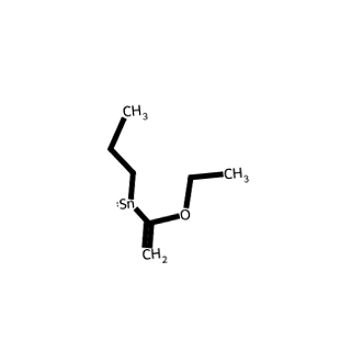 C=[C](OCC)[Sn][CH2]CC